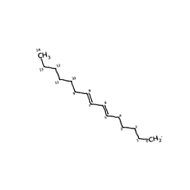 [CH2]CCCCC=CC=CCCCCCC